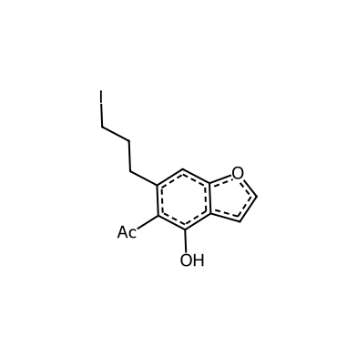 CC(=O)c1c(CCCI)cc2occc2c1O